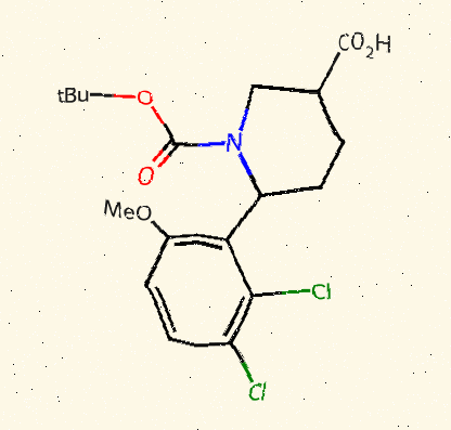 COc1ccc(Cl)c(Cl)c1C1CCC(C(=O)O)CN1C(=O)OC(C)(C)C